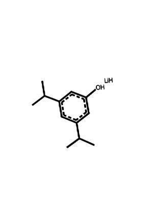 CC(C)c1cc(O)cc(C(C)C)c1.[LiH]